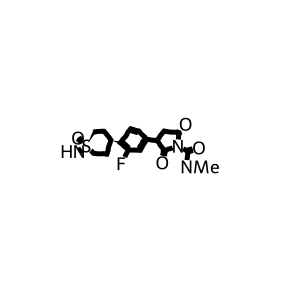 CNC(=O)N1C(=O)CC(c2ccc([C@H]3CC[S@@](=N)(=O)CC3)c(F)c2)C1=O